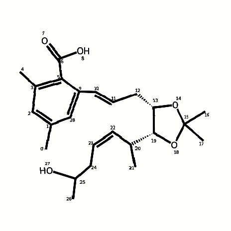 Cc1cc(C)c(C(=O)O)c(/C=C/C[C@@H]2OC(C)(C)O[C@@H]2C(C)/C=C\CC(C)O)c1